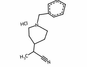 CC(C#N)C1CCN(Cc2ccccc2)CC1.Cl